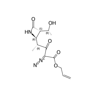 C=CCOC(=O)C(=[N+]=[N-])C(=O)[C@H](C)[C@H]1NC(=O)[C@@H]1[C@@H](C)O